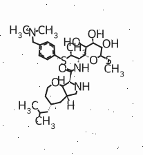 CSC1O[C@H]([C@H](NC(=O)[C@H]2NC[C@@H]3C[C@H](CC(C)C)CCO[C@H]32)[C@H](C)Sc2ccc(CN(C)C)cc2)C(O)[C@@H](O)[C@H]1O